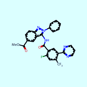 COC(=O)c1ccc2nn(-c3ccccc3)c(NC(=O)c3cc(-c4ncccn4)c(C(F)(F)F)cc3F)c2c1